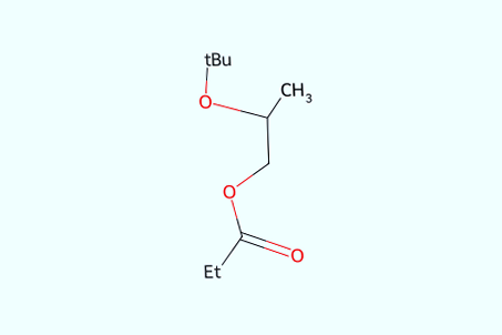 CCC(=O)OCC(C)OC(C)(C)C